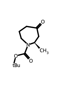 C[C@@H]1CC(=O)CCCN1C(=O)OC(C)(C)C